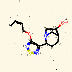 C/C=C\COc1nsnc1C1CCC2CN1CC2O